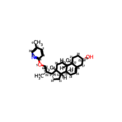 Cc1ccc(OC[C@@H](C)[C@H]2CC[C@H]3[C@@H]4CC=C5C[C@@H](O)CC[C@]5(C)[C@H]4CC[C@]23C)nc1